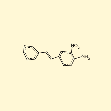 Nc1ccc(C=Cc2ccccc2)cc1[N+](=O)[O-]